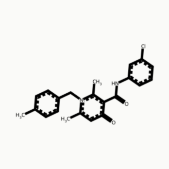 Cc1ccc(Cn2c(C)cc(=O)c(C(=O)Nc3cccc(Cl)c3)c2C)cc1